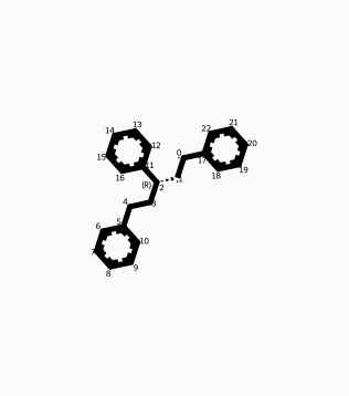 [CH]([CH][C@H](CCc1ccccc1)c1ccccc1)c1ccccc1